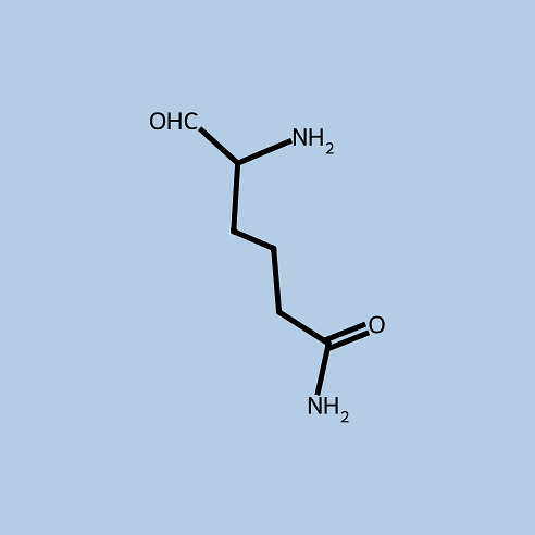 NC(=O)CCCC(N)C=O